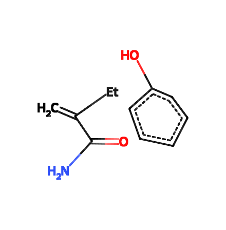 C=C(CC)C(N)=O.Oc1ccccc1